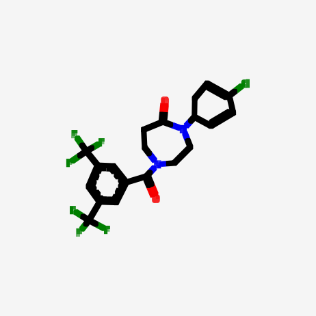 O=C(c1cc(C(F)(F)F)cc(C(F)(F)F)c1)N1CCC(=O)N(C2C=CC(Cl)=CC2)CC1